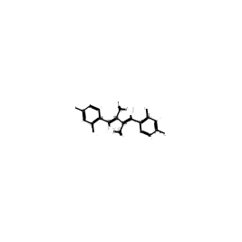 Cc1ccc(C2=C3C(=O)NC(c4ccc(C)cc4C)=C3C(=O)N2)c(C)c1